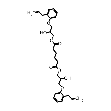 C=CCc1ccccc1OCC(O)COC(=O)CCCCC(=O)OCC(O)COc1ccccc1CC=C